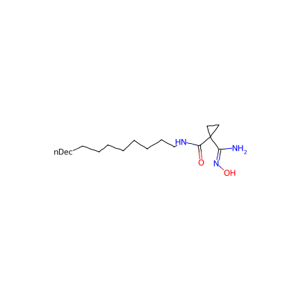 CCCCCCCCCCCCCCCCCCNC(=O)C1(/C(N)=N/O)CC1